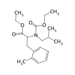 CCOC(=O)C(Cc1ccccc1C)N(CC(C)C)C(=O)OCC